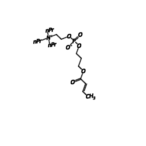 CC=CC(=O)OCCCOP(=O)([O-])OCC[N+](CCC)(CCC)CCC